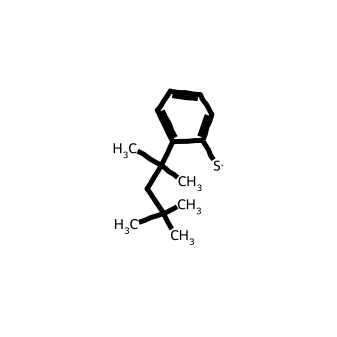 CC(C)(C)CC(C)(C)c1ccccc1[S]